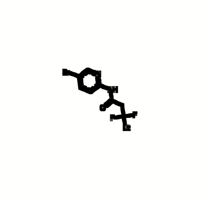 CCC(F)(F)CC(=O)Nc1ccc(Br)cn1